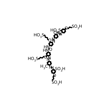 Cc1cc(/N=N/c2ccc(NC(=O)Nc3ccc(/N=N/c4ccc(N=Nc5ccc(OCCCS(=O)(=O)O)cc5S(=O)(=O)O)c(C)c4)c(OCCCCS(=O)(=O)O)c3)cc2OCCCCS(=O)(=O)O)ccc1N=Nc1ccc(OCCCS(=O)(=O)O)cc1S(=O)(=O)O